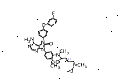 COc1ccc(-n2c(=O)n(-c3ccc(Oc4cccc(F)c4)cc3)c3c(N)ncnc32)cc1N(C)C(=O)/C=C/CN(C)C1CC1